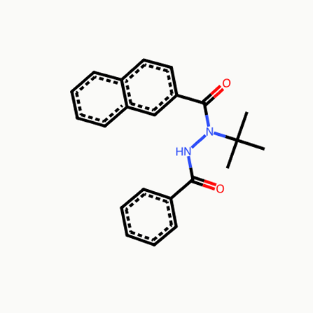 CC(C)(C)N(NC(=O)c1ccccc1)C(=O)c1ccc2ccccc2c1